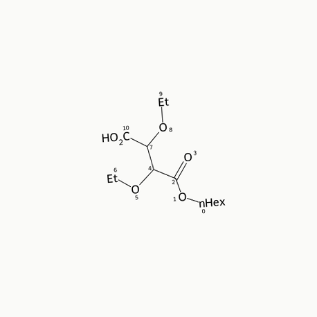 CCCCCCOC(=O)C(OCC)C(OCC)C(=O)O